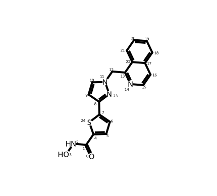 O=C(NO)c1ccc(-c2ccn(Cc3nccc4ccccc34)n2)s1